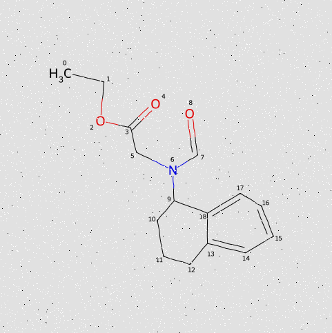 CCOC(=O)CN(C=O)C1CCCc2ccccc21